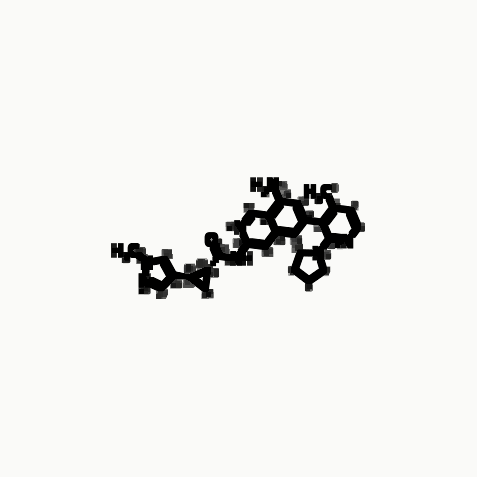 Cc1ccnc(N2CCCC2)c1-c1cc(N)c2cnc(NC(=O)[C@@H]3C[C@H]3c3cnn(C)c3)cc2c1